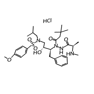 CN[C@H](C)C(=O)NN(C(=O)CC(C)(C)C)[C@@H](Cc1ccccc1)[C@H](O)CN(CC(C)C)S(=O)(=O)c1ccc(OC)cc1.Cl